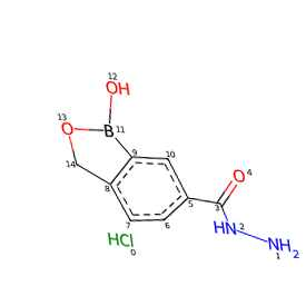 Cl.NNC(=O)c1ccc2c(c1)B(O)OC2